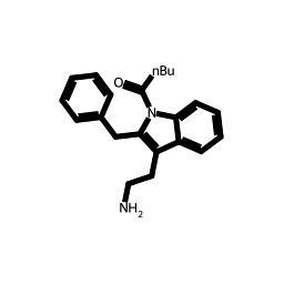 CCCCC(=O)n1c(Cc2ccccc2)c(CCN)c2ccccc21